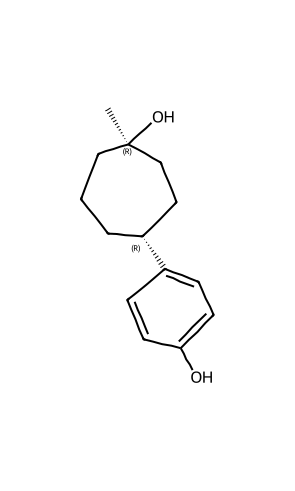 C[C@@]1(O)CCC[C@@H](c2ccc(O)cc2)CC1